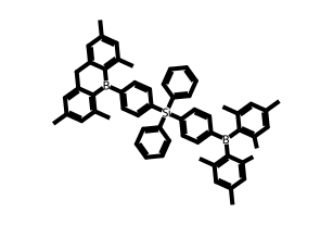 Cc1cc(C)c(B(c2ccc([Si](c3ccccc3)(c3ccccc3)c3ccc(B4c5c(C)cc(C)cc5Cc5cc(C)cc(C)c54)cc3)cc2)c2c(C)cc(C)cc2C)c(C)c1